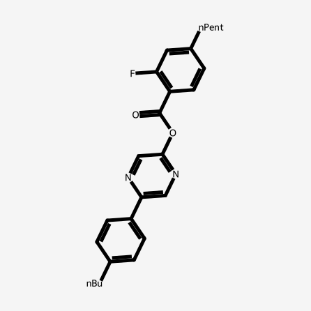 CCCCCc1ccc(C(=O)Oc2cnc(-c3ccc(CCCC)cc3)cn2)c(F)c1